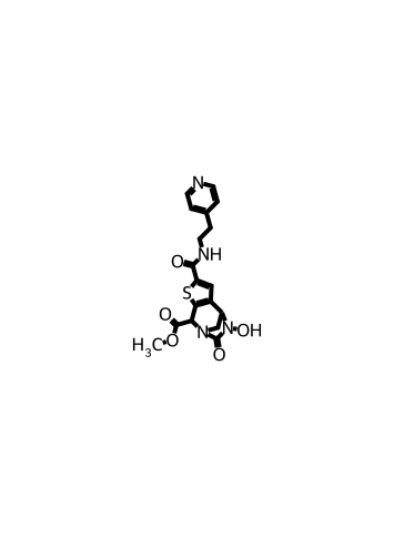 COC(=O)C1c2sc(C(=O)NCCc3ccncc3)cc2C2CN1C(=O)N2O